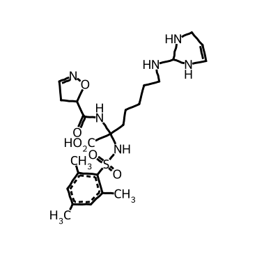 Cc1cc(C)c(S(=O)(=O)NC(CCCCCNC2NC=CCN2)(NC(=O)C2CC=NO2)C(=O)O)c(C)c1